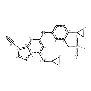 CS(=O)(=O)Cc1cc(Nc2cc(NC3CC3)n3ncc(C#N)c3n2)ccc1C1CC1